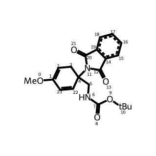 COC1=CCC(CNC(=O)OC(C)(C)C)(N2C(=O)c3ccccc3C2=O)C=C1